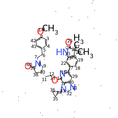 COc1ccc(CCN2C[C@H](CCOc3nc(-c4ccc5c(c4)NC(=O)C5(C)C)cc4ncn(C5CC5)c34)CC2=O)cc1